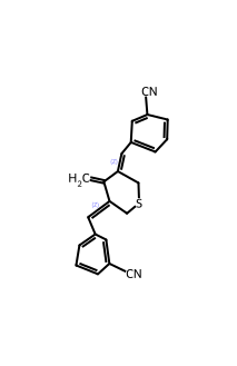 C=C1/C(=C/c2cccc(C#N)c2)CSC/C1=C\c1cccc(C#N)c1